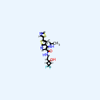 CC(C)Nc1c(C(=O)NCCC2(O)CC(F)(F)C2)cnc2sc(-c3cncs3)cc12